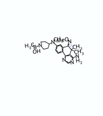 CO/N=C1\c2cc(N(C)C3CCN(B(C)O)CC3)ccc2-c2ncnc(N)c2C1(C)C